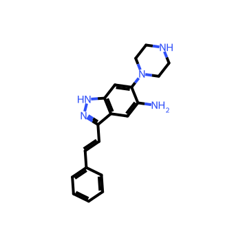 Nc1cc2c(/C=C/c3ccccc3)n[nH]c2cc1N1CCNCC1